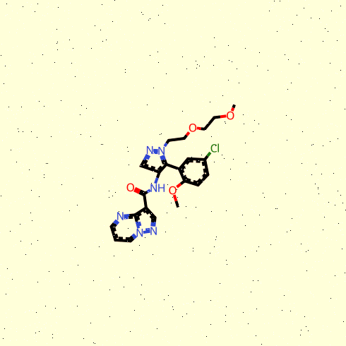 COCCOCCn1ncc(NC(=O)c2cnn3cccnc23)c1-c1cc(Cl)ccc1OC